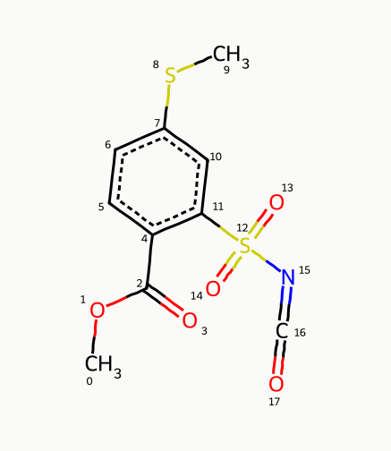 COC(=O)c1ccc(SC)cc1S(=O)(=O)N=C=O